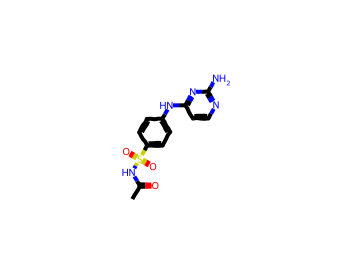 CC(=O)NS(=O)(=O)c1ccc(Nc2ccnc(N)n2)cc1